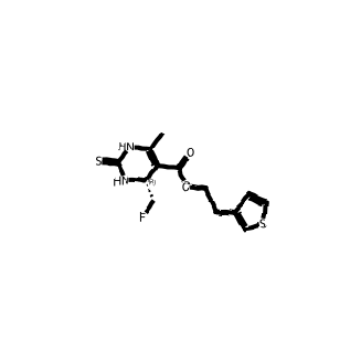 CC1=C(C(=O)OCCc2ccsc2)[C@H](CF)NC(=S)N1